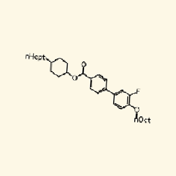 CCCCCCCCOc1ccc(-c2ccc(C(=O)OC3CCC(CCCCCCC)CC3)cc2)cc1F